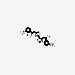 CCC(CC1N=[C]OC1C1=NC(CC(C)c2cccc(C(F)(F)F)c2)CO1)c1cccc(C(F)(F)F)c1